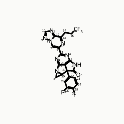 O=C1Nc2nc(-c3cn4ncnc4c(CCC(F)(F)F)n3)nc3c2C1(c1ccc(F)c(F)c1)C1CN31